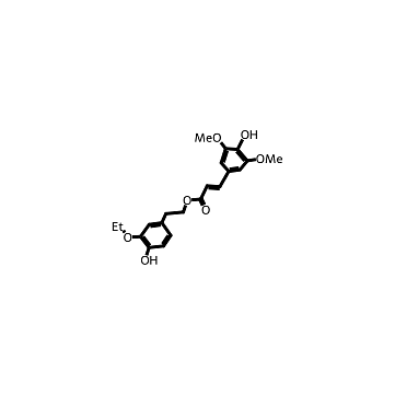 CCOc1cc(CCOC(=O)/C=C/c2cc(OC)c(O)c(OC)c2)ccc1O